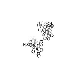 Cc1cc2c(cc1N1c3cc4c(oc5cc(-c6ccc7c(c6)oc6c8cccc9c8n(c76)B6c7c-9cc8c(oc9ccccc98)c7N(c7cc8c(cc7C)C(C)(C)CCC8(C)C)c7sc8ccccc8c76)ccc54)c4c3B(c3c1sc1ccccc31)n1c3oc5ccccc5c3c3cccc-4c31)C(C)(C)CCC2(C)C